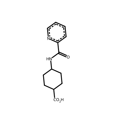 O=C(NC1CCC(C(=O)O)CC1)c1ccccn1